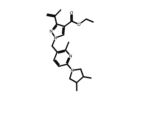 C=C(C)c1nn(Cc2ccc(N3CC(C)C(C)C3)nc2C)cc1C(=O)OCC